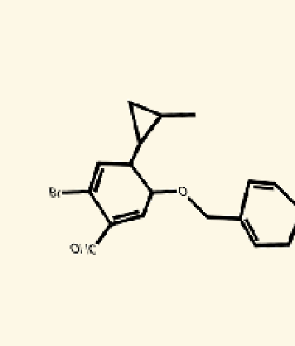 CC1CC1C1C=C(Br)C(C=O)=CC1OCC1=CCCC=C1